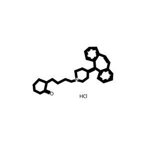 Cl.O=C1CCCCC1CCCCN1CCC(=C2c3ccccc3C=Cc3ccccc32)CC1